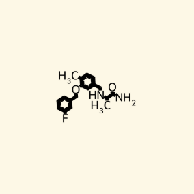 Cc1ccc(CNC(C)C(N)=O)cc1OCc1cccc(F)c1